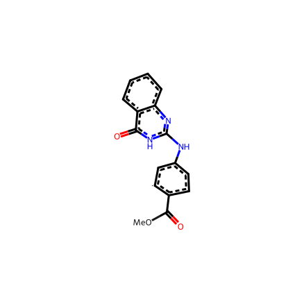 COC(=O)c1[c]cc(Nc2nc3ccccc3c(=O)[nH]2)cc1